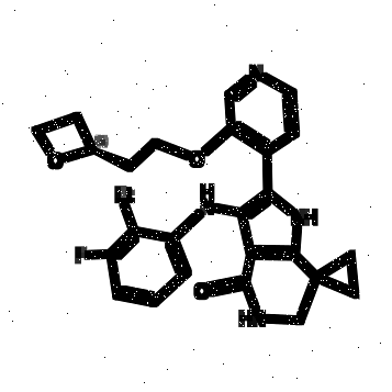 CCc1c(F)cccc1Nc1c(-c2ccncc2OCC[C@@H]2CCO2)[nH]c2c1C(=O)NCC21CC1